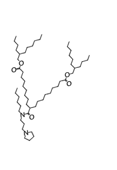 CCCCCCC(CCCC)COC(=O)CCCCCCCCC(CCCCCCCCC(=O)OCC(CCCC)CCCCCC)C(=O)N(CCCCCC)CCCN1CCCC1